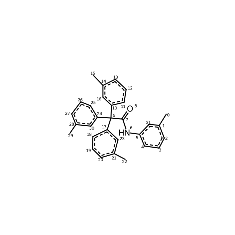 Cc1cccc(NC(=O)C(c2cccc(C)c2)(c2cccc(C)c2)c2cccc(C)c2)c1